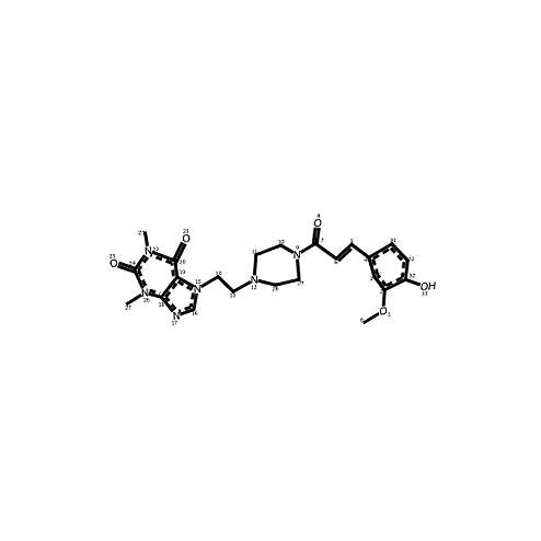 COc1cc(C=CC(=O)N2CCN(CCn3cnc4c3c(=O)n(C)c(=O)n4C)CC2)ccc1O